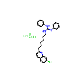 Cl.Cl.Cl.Clc1ccc2ccc(CCCCCCNC(=Nc3ccccc3)Nc3ccccc3)nc2c1